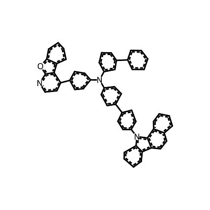 c1ccc(-c2cccc(N(c3ccc(-c4ccc(-n5c6ccccc6c6ccc7ccccc7c65)cc4)cc3)c3ccc(-c4ccnc5oc6ccccc6c45)cc3)c2)cc1